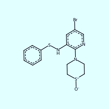 [O-][S+]1CCN(c2ncc(Br)cc2NSc2ccccc2)CC1